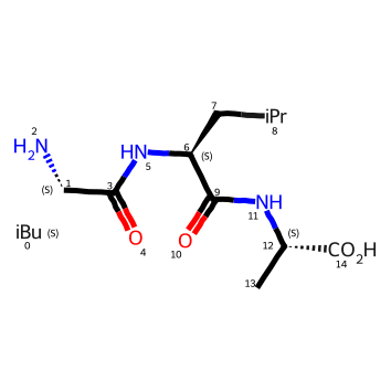 CC[C@H](C)[C@H](N)C(=O)N[C@@H](CC(C)C)C(=O)N[C@@H](C)C(=O)O